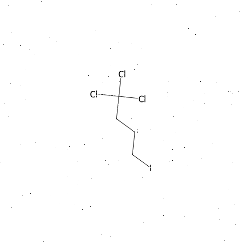 ClC(Cl)(Cl)C[CH]CI